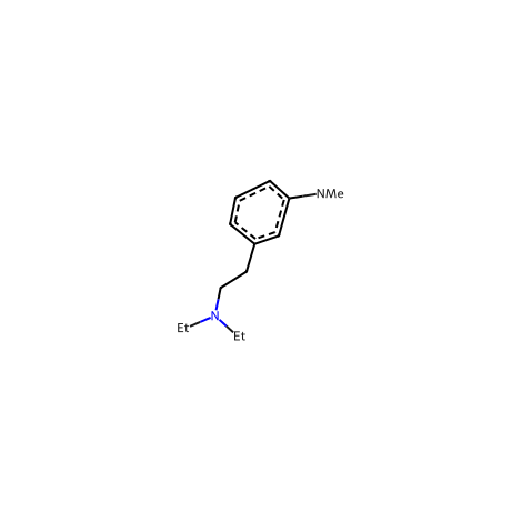 CCN(CC)CCc1cccc(NC)c1